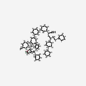 N=C(/C=C(\N=C\c1ccccc1)c1ccc(-c2ccccc2)cc1)c1cccc(-c2cccc(-c3ccc4c(c3)-c3ccc(F)cc3C43c4ccccc4N(c4ccccc4)c4ccccc43)c2)c1